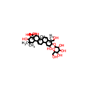 CC1(C)CC2C3=CCC4C5C[C@H](O)[C@H](O[C@@H]6OC(CO)[C@@H](O)C(O)C6O)[C@](C)(CO)C5CCC4[C@]3(C)C[C@@H](O)[C@@]2(C(=O)O)[C@@H](O)[C@@H]1O